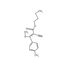 CCCCOC(=O)/C(C#N)=C(\OC)c1ccc(C)cc1